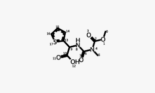 COC(=O)N(C)C(=O)NC(C(=O)O)c1cccs1